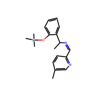 Cc1ccc(/C=N\C(C)c2ccccc2O[Si](C)(C)C)nc1